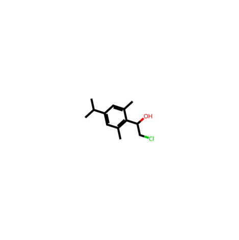 Cc1cc(C(C)C)cc(C)c1C(O)CCl